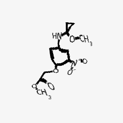 COC(=O)COc1ccc(NC2(OC)CC2)cc1[N+](=O)[O-]